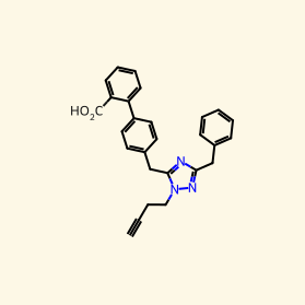 C#CCCn1nc(Cc2ccccc2)nc1Cc1ccc(-c2ccccc2C(=O)O)cc1